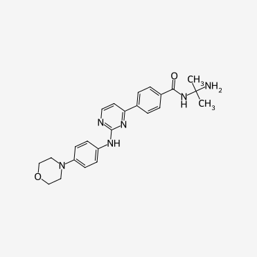 CC(C)(N)NC(=O)c1ccc(-c2ccnc(Nc3ccc(N4CCOCC4)cc3)n2)cc1